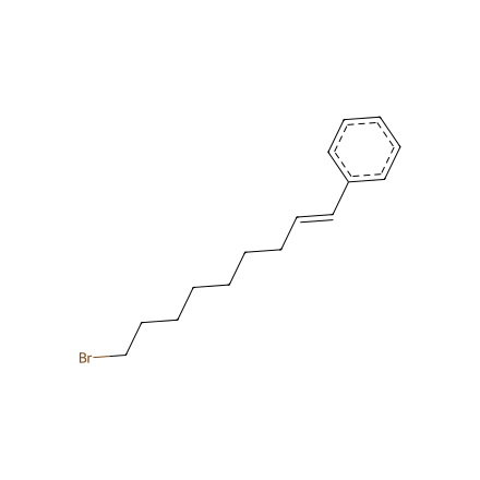 BrCCCCCCCC=Cc1ccccc1